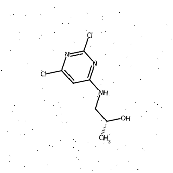 C[C@@H](O)CNc1cc(Cl)nc(Cl)n1